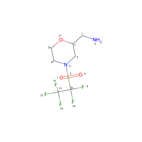 NCC1CN(S(=O)(=O)C(F)(F)C(F)(F)F)CCO1